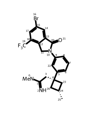 CNC(=N)C[C@]1(c2cccc(N3Cc4c(cc(Br)cc4C(F)(F)F)C3=O)c2)C[C@H](C)C1